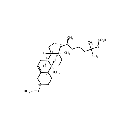 C[C@@H](CCCC(C)(C)OS(=O)(=O)O)[C@H]1CC[C@H]2[C@@H]3CC=C4C[C@@H](OS(=O)(=O)O)CC[C@]4(C)[C@H]3CC[C@]12C